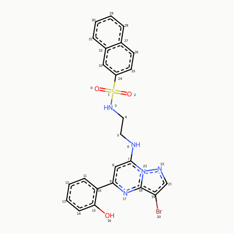 O=S(=O)(NCCNc1cc(-c2ccccc2O)nc2c(Br)cnn12)c1ccc2ccccc2c1